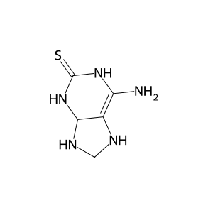 NC1=C2NCNC2NC(=S)N1